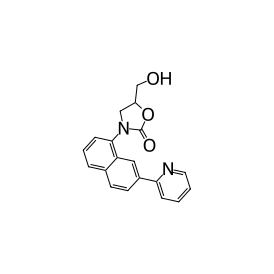 O=C1OC(CO)CN1c1cccc2ccc(-c3ccccn3)cc12